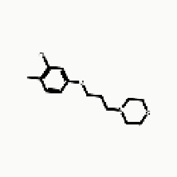 Clc1cc(OCCCN2CCOCC2)ccc1I